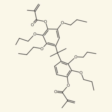 C=C(C)C(=O)Oc1ccc(C(C)(C)c2cc(OCCC)c(OC(=O)C(=C)C)c(OCCC)c2OCCC)c(OCCC)c1OCCC